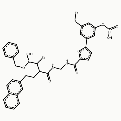 CCOc1cc(O[PH](=O)O)cc(-c2ccc(C(=O)NCNC(=O)C(CCc3ccc4ccccc4c3)C(CC)N(C=O)OCc3ccccc3)o2)c1